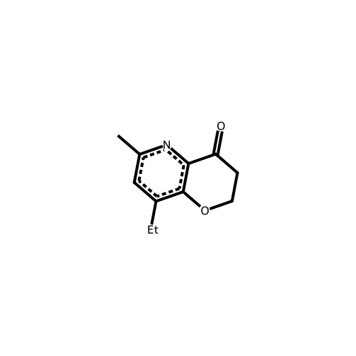 CCc1cc(C)nc2c1OCCC2=O